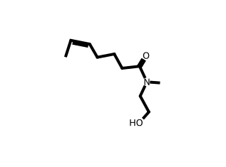 C/C=C\CCCC(=O)N(C)CCO